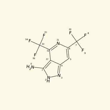 Nc1[nH]nc2cc(C(F)(F)F)nc(C(F)(F)F)c12